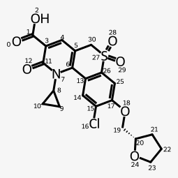 O=C(O)c1cc2c(n(C3CC3)c1=O)-c1cc(Cl)c(OC[C@@H]3CCCO3)cc1S(=O)(=O)C2